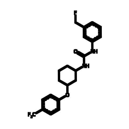 O=C(Nc1cccc(CF)c1)NC1CCCC(Oc2ccc(C(F)(F)F)cc2)C1